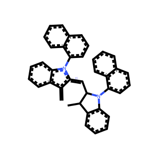 C=c1/c(=C\C2C(C)c3ccccc3N2c2cccc3ccccc23)n(-c2cccc3ccccc23)c2ccccc12